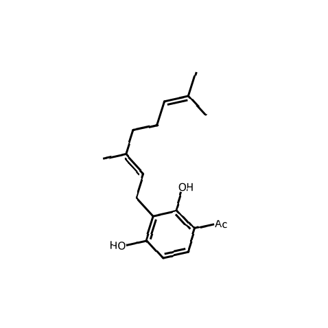 CC(=O)c1ccc(O)c(C/C=C(\C)CCC=C(C)C)c1O